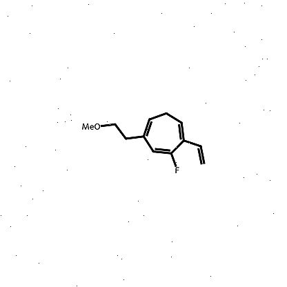 C=CC1=CCC=C(CCOC)C=C1F